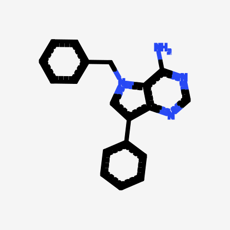 Nc1ncnc2c(-c3ccccc3)cn(Cc3ccccc3)c12